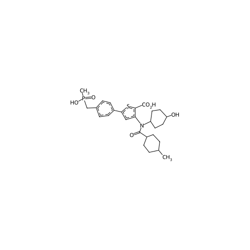 CC1CCC(C(=O)N(c2cc(-c3ccc(CP(C)(=O)O)cc3)sc2C(=O)O)C2CCC(O)CC2)CC1